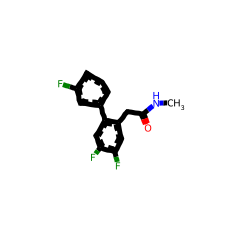 CNC(=O)Cc1cc(F)c(F)cc1-c1cccc(F)c1